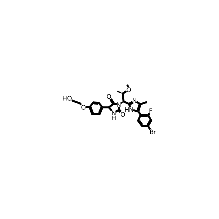 CO[C@H](C)[C@@H](c1nc(C)c(-c2ccc(Br)cc2F)[nH]1)N1C(=O)NC(c2ccc(OCCO)cc2)C1=O